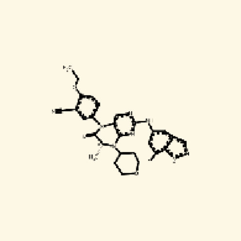 CCOc1ccc(N2C(=O)[C@@H](C)N(C3CCOCC3)c3nc(Nc4cc(F)c5[nH]ncc5c4)ncc32)cc1C#N